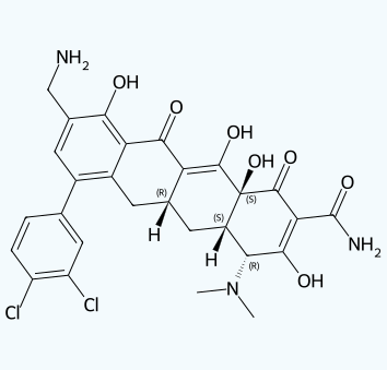 CN(C)[C@H]1C(O)=C(C(N)=O)C(=O)[C@@]2(O)C(O)=C3C(=O)c4c(O)c(CN)cc(-c5ccc(Cl)c(Cl)c5)c4C[C@H]3C[C@@H]12